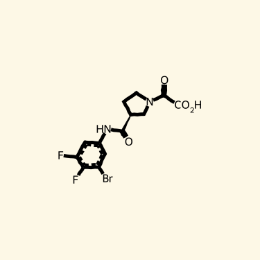 O=C(O)C(=O)N1CC[C@H](C(=O)Nc2cc(F)c(F)c(Br)c2)C1